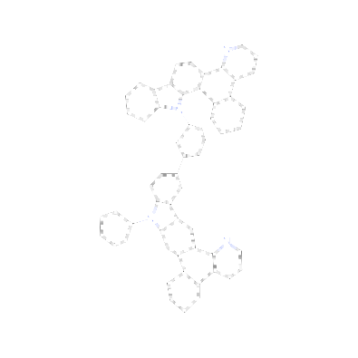 c1ccc(-n2c3ccc(-c4cccc(-n5c6ccccc6c6ccc7c8ncccc8c8ccccc8c7c65)c4)cc3c3cc4c(cc32)c2ccccc2c2cccnc24)cc1